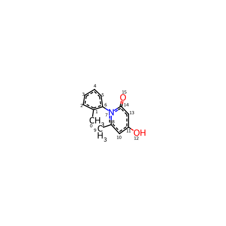 Cc1ccccc1-n1c(C)cc(O)cc1=O